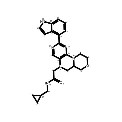 O=C(CN1CC2COCCN2c2nc(-c3cccc4[nH]ccc34)ncc21)NCC1CC1